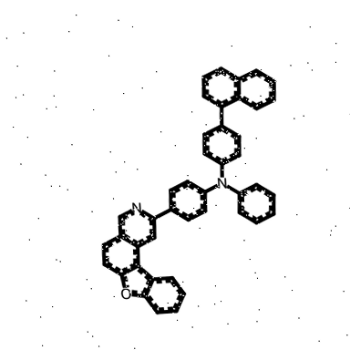 c1ccc(N(c2ccc(-c3cc4c(ccc5oc6ccccc6c54)cn3)cc2)c2ccc(-c3cccc4ccccc34)cc2)cc1